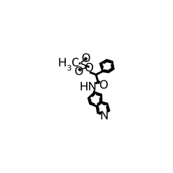 CS(=O)(=O)OCC(C(=O)Nc1ccc2cnccc2c1)c1ccccc1